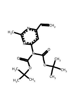 C=Cc1cc(N(C(=O)OC(C)(C)C)C(=O)OC(C)(C)C)nc(C)n1